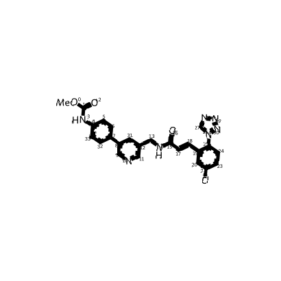 COC(=O)Nc1ccc(-c2cncc(CNC(=O)C=Cc3cc(Cl)ccc3-n3cnnn3)c2)cc1